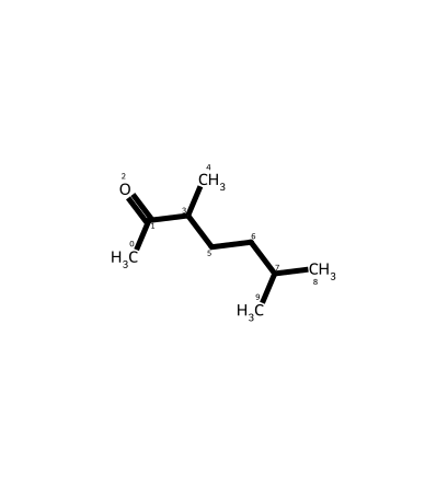 CC(=O)C(C)CCC(C)C